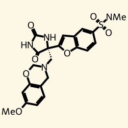 CNS(=O)(=O)c1ccc2oc([C@]3(CN4COc5cc(OC)ccc5C4)NC(=O)NC3=O)cc2c1